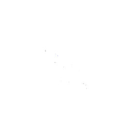 CCC/N=C(\Cl)c1ccc([N+](=O)[O-])cc1